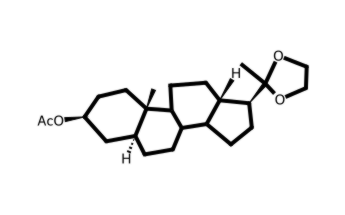 CC(=O)O[C@H]1CC[C@]2(C)C3CC[C@H]4C(CC[C@@H]4C4(C)OCCO4)C3CC[C@H]2C1